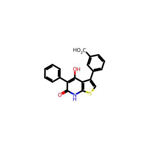 O=C(O)c1cccc(-c2csc3[nH]c(=O)c(-c4ccccc4)c(O)c23)c1